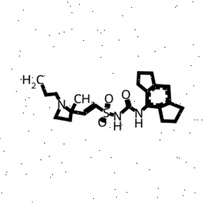 [CH2]CCN1CCC1(C)/C=C/S(=O)(=O)NC(=O)Nc1c2c(cc3c1CCC3)CCC2